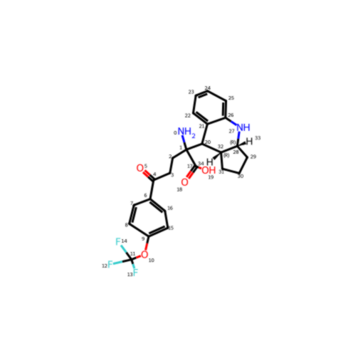 NC(CCC(=O)c1ccc(OC(F)(F)F)cc1)(C(=O)O)C1c2ccccc2N[C@@H]2CCC[C@H]12